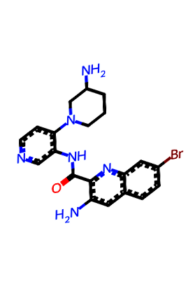 Nc1cc2ccc(Br)cc2nc1C(=O)Nc1cnccc1N1CCCC(N)C1